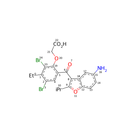 CCc1c(Br)cc(C(=O)c2c(C(C)C)oc3ccc(N)cc23)c(OCC(=O)O)c1Br